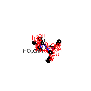 CCC[C@H](OC1C(OC(=O)c2ccccc2)[C@H](O[C@@H]2CC(C(=O)NCCNC(=O)C3CC(OCc4cc5ccccc5oc4=O)C(O)[C@H](O[C@@H]4OC(CO)[C@H](O)C(OCc5cc6ccccc6oc5=O)C4O)C3)CC(CC)C2O[C@@H]2OC(C)[C@@H](O)C(O)C2O)OC(CO)[C@@H]1O)C(=O)O